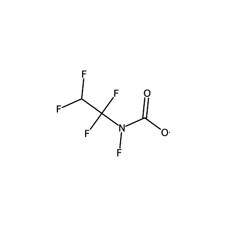 [O]C(=O)N(F)C(F)(F)C(F)F